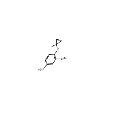 COc1cc(C(=O)O)ccc1OC1(C)CC1